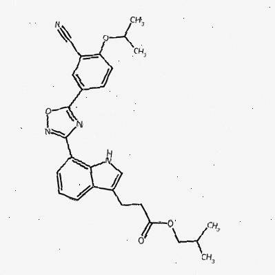 CC(C)COC(=O)CCc1c[nH]c2c(-c3noc(-c4ccc(OC(C)C)c(C#N)c4)n3)cccc12